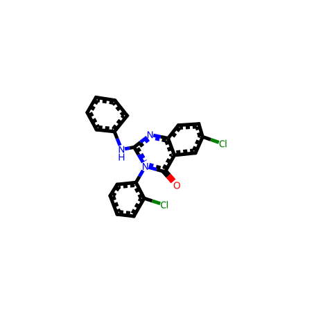 O=c1c2cc(Cl)ccc2nc(Nc2ccccc2)n1-c1ccccc1Cl